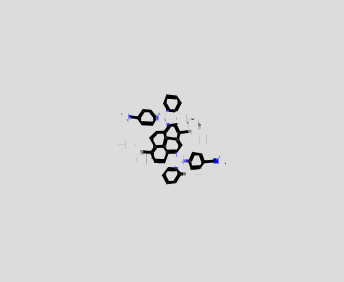 Cc1ccccc1N(c1ccc(C#N)cc1)c1cc2c(C(C)C)cc(N(c3ccc(C#N)cc3)c3ccccc3C)c3ccc4c(C(C)C)ccc1c4c23